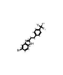 FC(F)(F)c1ccc(CCc2nc3cc(Br)ccc3[nH]2)cc1